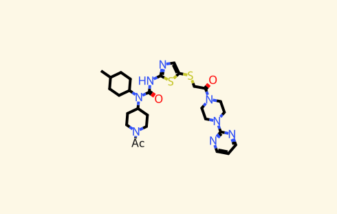 CC(=O)N1CCC(N(C(=O)Nc2ncc(SCC(=O)N3CCN(c4ncccn4)CC3)s2)C2CCC(C)CC2)CC1